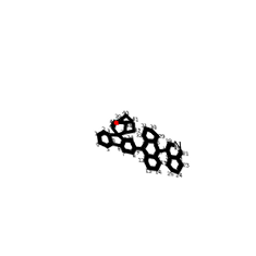 c1ccc2c(c1)-c1ccc(-c3c4ccccc4c(-c4cncc5ccccc45)c4ccccc34)cc1C21C2CC3CC(C2)CC1C3